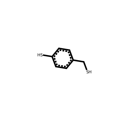 SCc1ccc(S)cc1